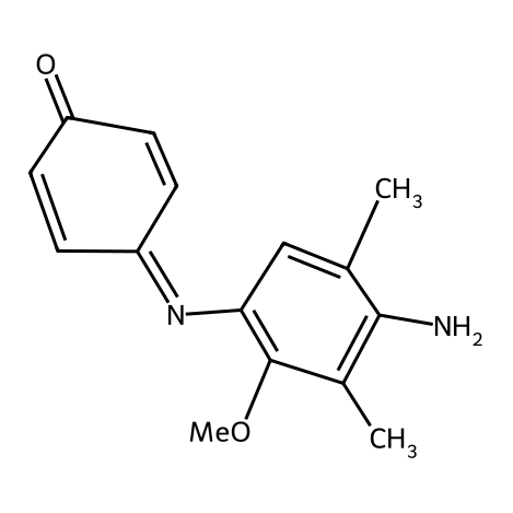 COc1c(N=C2C=CC(=O)C=C2)cc(C)c(N)c1C